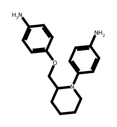 Nc1ccc(OCC2CCCCN2c2ccc(N)cc2)cc1